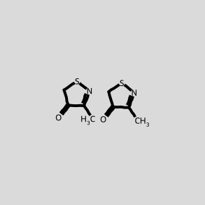 CC1=NSCC1=O.CC1=NSCC1=O